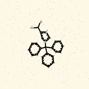 CC(C)C(O)c1cn(C(c2ccccc2)(c2ccccc2)c2ccccc2)cn1